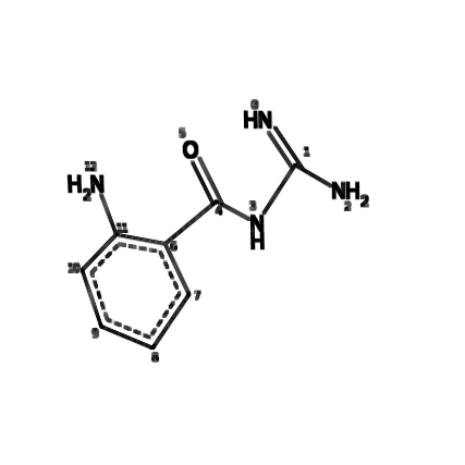 N=C(N)NC(=O)c1ccccc1N